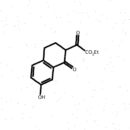 CCOC(=O)C(=O)C1CCc2ccc(O)cc2C1=O